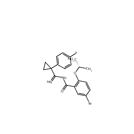 C[C@H](Oc1ccc(Br)cc1C(=O)NC(=N)C1(c2ccc(F)cc2)CC1)C(=O)O